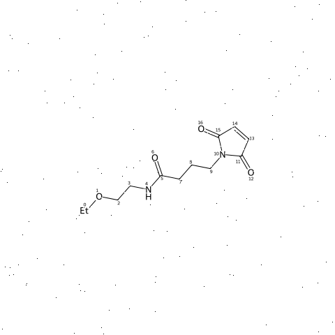 CCOCCNC(=O)CCCN1C(=O)C=CC1=O